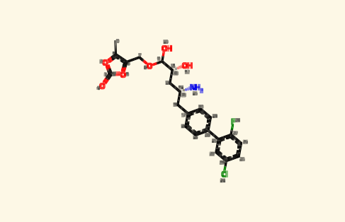 Cc1oc(=O)oc1COC(O)[C@H](O)C[C@H](N)Cc1ccc(-c2cc(Cl)ccc2F)cc1